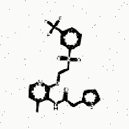 Cc1ccnc(SCCS(=O)(=O)c2cccc(C(F)(F)F)c2)c1NC(=O)Cc1cccs1